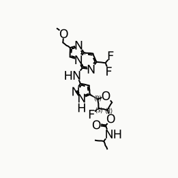 COCc1cn2c(Nc3cc([C@H]4OC[C@@H](OC(=O)NC(C)C)[C@H]4F)[nH]n3)nc(C(F)F)cc2n1